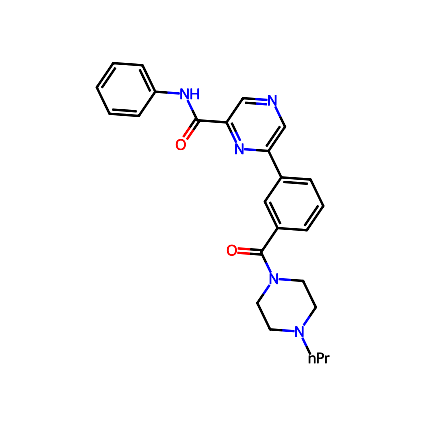 CCCN1CCN(C(=O)c2cccc(-c3cncc(C(=O)Nc4ccccc4)n3)c2)CC1